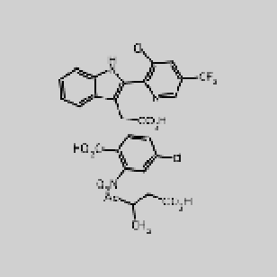 CC(=O)C(C)CC(=O)O.O=C(O)Cc1c(-c2ncc(C(F)(F)F)cc2Cl)[nH]c2ccccc12.O=C(O)c1ccc(Cl)cc1[N+](=O)[O-]